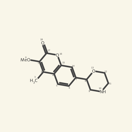 COc1c(C)c2ccc(C3CNCCO3)cc2oc1=O